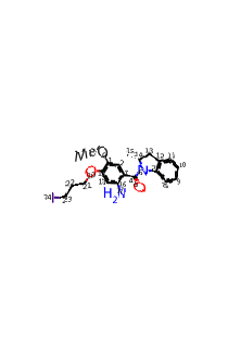 COc1cc(C(=O)N2c3ccccc3C[C@H]2C)c(N)cc1OCCCI